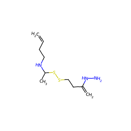 C=CCCNC(C)SSCCC(=C)NN